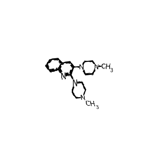 CN1CCN(c2cc3ccccc3nc2N2CCN(C)CC2)CC1